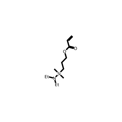 C=CC(=O)OCCC[Si](C)(C)N(CC)CC